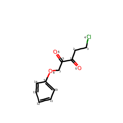 O=C(CCCl)C(=O)COc1ccccc1